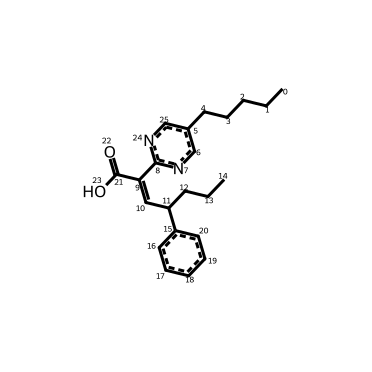 CCCCCc1cnc(/C(=C\C(CCC)c2ccccc2)C(=O)O)nc1